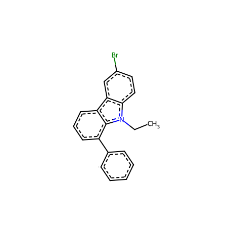 CCn1c2ccc(Br)cc2c2cccc(-c3[c]cccc3)c21